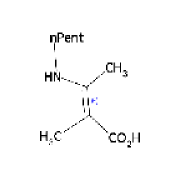 CCCCCN/C(C)=C(\C)C(=O)O